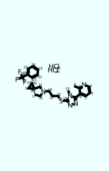 Cc1ncccc1-c1nnc(SCCCN2CC[C@@]3(C[C@@H]3c3ccccc3C(F)(F)F)C2)n1C.Cl.Cl